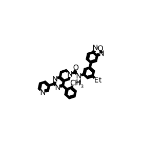 CCc1cc(NC(=O)N2CCc3nc(-c4cccnc4)nc(-c4ccccc4C)c3C2)cc(-c2ccc3nonc3c2)c1